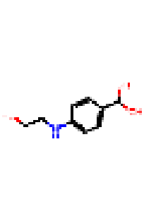 OCCNc1ccc(C(O)O)cc1